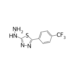 NNc1nnc(-c2ccc(C(F)(F)F)cc2)s1